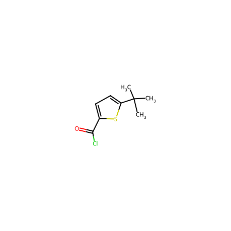 CC(C)(C)c1ccc(C(=O)Cl)s1